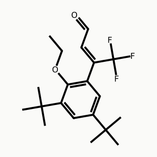 CCOc1c(C(=CC=O)C(F)(F)F)cc(C(C)(C)C)cc1C(C)(C)C